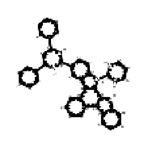 c1ccc(-c2cc(-c3ccccc3)nc(-c3ccc4c(c3)c3c5ccccc5c5c6ccccc6sc5c3n4-c3ncccn3)n2)cc1